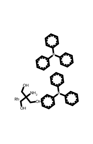 NC(CO)(CO)CO.[Rh].c1ccc(P(c2ccccc2)c2ccccc2)cc1.c1ccc(P(c2ccccc2)c2ccccc2)cc1